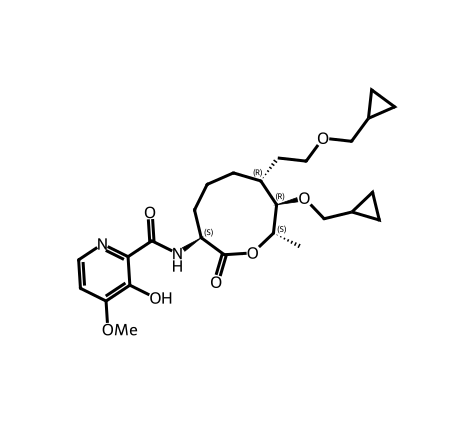 COc1ccnc(C(=O)N[C@H]2CCC[C@H](CCOCC3CC3)[C@@H](OCC3CC3)[C@H](C)OC2=O)c1O